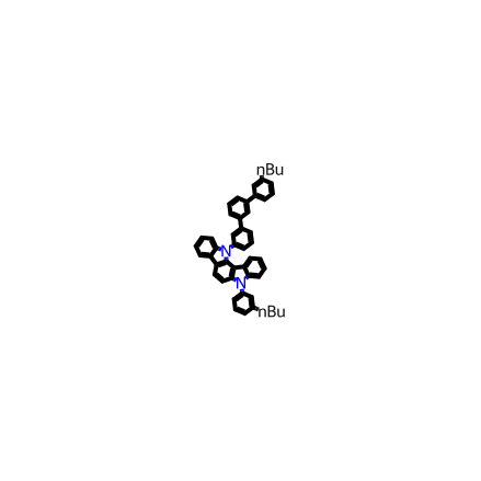 CCCCc1cccc(-c2cccc(-c3cccc(-n4c5ccccc5c5ccc6c(c7ccccc7n6-c6cccc(CCCC)c6)c54)c3)c2)c1